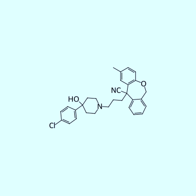 Cc1ccc2c(c1)C(C#N)(CCCN1CCC(O)(c3ccc(Cl)cc3)CC1)c1ccccc1CO2